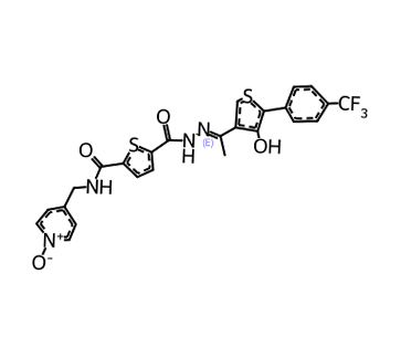 C/C(=N\NC(=O)c1ccc(C(=O)NCc2cc[n+]([O-])cc2)s1)c1csc(-c2ccc(C(F)(F)F)cc2)c1O